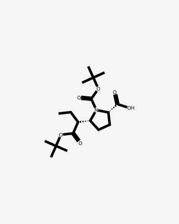 CCC(C(=O)OC(C)(C)C)[C@H]1CC[C@@H](C(=O)O)N1C(=O)OC(C)(C)C